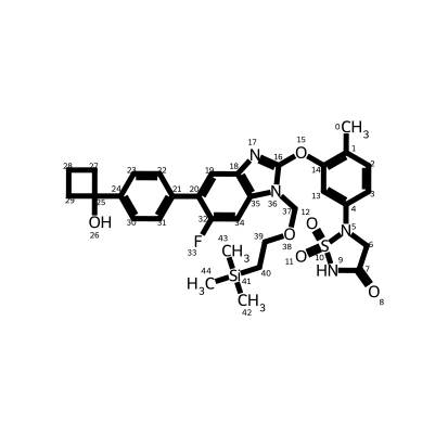 Cc1ccc(N2CC(=O)NS2(=O)=O)cc1Oc1nc2cc(-c3ccc(C4(O)CCC4)cc3)c(F)cc2n1COCC[Si](C)(C)C